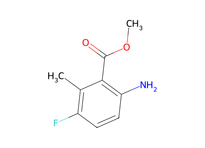 COC(=O)c1c(N)ccc(F)c1C